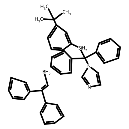 BC=C(c1ccccc1)c1ccccc1.CC(C)(C)c1cccc([SiH2]C(c2ccccc2)(c2ccccc2)n2ccnc2)c1